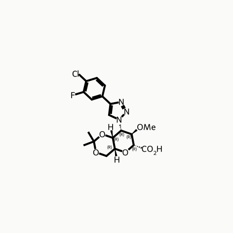 CO[C@@H]1[C@@H](n2cc(-c3ccc(Cl)c(F)c3)nn2)[C@H]2OC(C)(C)OC[C@H]2O[C@H]1C(=O)O